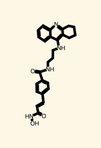 O=C(/C=C/c1ccc(C(=O)NCCCNc2c3c(nc4ccccc24)CCCC3)cc1)NO